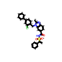 C=C(c1ccccc1)S(=O)(=O)NC(=O)c1ccc2nc(C)n(Cc3ccc(-c4ccccc4)cc3Cl)c2c1